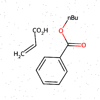 C=CC(=O)O.CCCCOC(=O)c1ccccc1